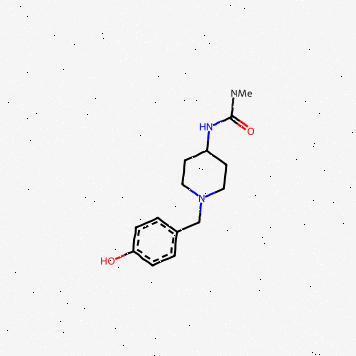 CNC(=O)NC1CCN(Cc2ccc(O)cc2)CC1